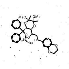 CO[C@]1(C)O[C@@H]([C@H](O)CNc2ccc3c(c2)OCCO3)[C@@H](C(O[SiH2]C(C)(C)C)(c2ccccc2)c2ccccc2)O[C@@]1(C)OC